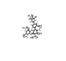 COc1ccc(Cn2c3c(c(O)c(C(=O)O)c2=O)CCNc2cc(N4C[C@@H]5C(N)[C@@H]5C4)ccc2-3)c(OC)c1